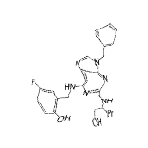 CC(C)C(CO)Nc1nc(NCc2cc(F)ccc2O)c2ncn(Cc3ccccc3)c2n1